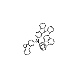 c1ccc(N(c2ccc3c(c2)C2(c4ccccc4-3)c3ccccc3-c3c2cc2c4c(cccc34)-c3ccccc3-2)c2ccc3oc4ccccc4c3c2)cc1